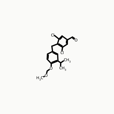 COCOc1ccc(Cc2c(Cl)cc(C=O)cc2Cl)cc1C(C)C